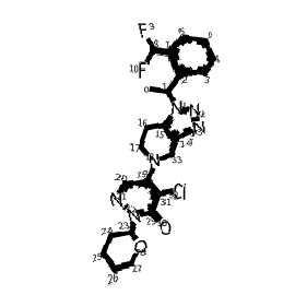 CC(c1ccccc1C(F)F)n1nnc2c1CCN(c1cnn(C3CCCCO3)c(=O)c1Cl)C2